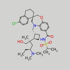 CC[C@@H](C[C@@](C)(CO)[C@@H]1CC[C@H]1CN1C[C@@]2(CCCc3cc(Cl)ccc32)COc2ccc(C(=O)NS(=O)(=O)C(C)C)cc21)N(C)C